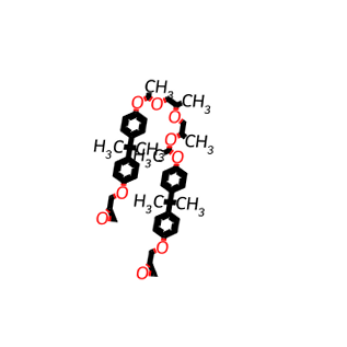 CC(COC(C)Oc1ccc(C(C)(C)c2ccc(OCC3CO3)cc2)cc1)OCC(C)OC(C)Oc1ccc(C(C)(C)c2ccc(OCC3CO3)cc2)cc1